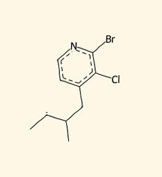 C[CH]C(C)Cc1ccnc(Br)c1Cl